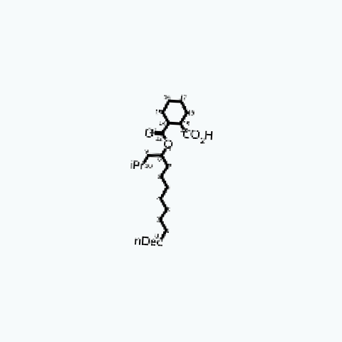 CCCCCCCCCCCCCCCCCC(CC(C)C)OC(=O)C1CCCCC1C(=O)O